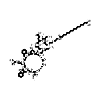 CCCC[C@H](NC(=O)C(CO)NC(=O)C(CCC(N)=O)NC(=O)C(CO)NC(=O)COCCOCCNC(=O)CCCCCCCCCCCCCCC(O)O)C(=O)N[C@H]1CCC(=O)CNCCCC[C@@H](C(N)=O)NC(=O)[C@H](Cc2c[nH]c3ccccc23)NC(=O)[C@H](CCCNC(=N)N)NC(=O)[C@@H](Cc2ccccc2)NC(=O)[C@@H]2C[C@@H](O)CN2C1=O